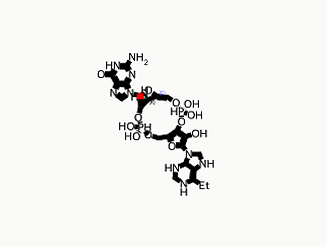 CCC1=C2NCN(c3oc4c(c3O)O[PH](O)(O)O/C=C3/OC(n5cnc6c(=O)[nH]c(N)nc65)=C(O[PH](O)(O)OC4)[C@@H]3O)C2NCN1